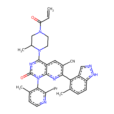 C=CC(=O)N1CCN(c2nc(=O)n(-c3c(C)ccnc3C(C)C)c3nc(-c4c(C)ccc5[nH]ncc45)c(C#N)cc23)C(C)C1